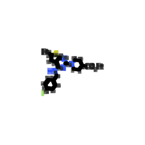 CCOC(=O)C1CCN(c2nc(NCc3ccc(F)cc3)c3cc(CC)sc3n2)CC1